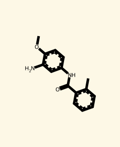 COc1ccc(NC(=O)c2ccccc2C)cc1N